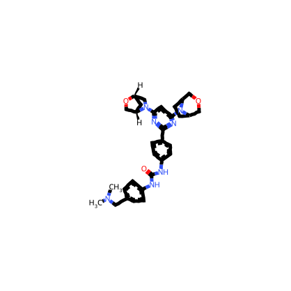 CN(C)Cc1ccc(NC(=O)Nc2ccc(-c3nc(N4C5CCC4COC5)cc(N4C[C@@H]5C[C@H]4CO5)n3)cc2)cc1